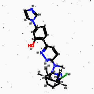 CN(c1ccc(-c2ccc(-n3ccnc3)cc2O)nn1)[C@H]1[C@H](F)[C@]2(C)CC[C@@]1(C)CN2